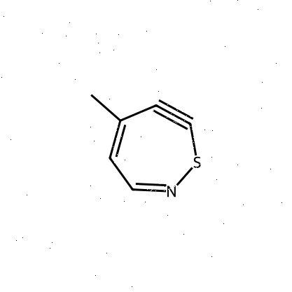 CC1=CC=NSC#C1